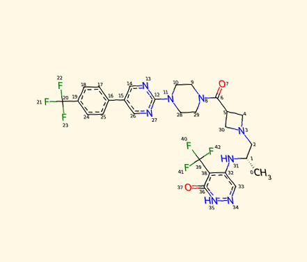 C[C@@H](CN1CC(C(=O)N2CCN(c3ncc(-c4ccc(C(F)(F)F)cc4)cn3)CC2)C1)Nc1cn[nH]c(=O)c1C(F)(F)F